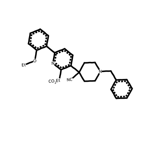 CCOC(=O)c1nc(-c2ccccc2OCC)ccc1C1(C#N)CCN(Cc2ccccc2)CC1